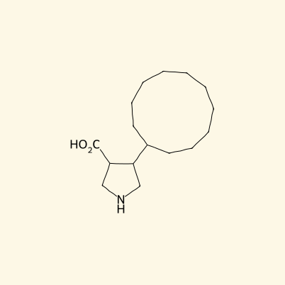 O=C(O)C1CNCC1C1CCCCCCCCCC1